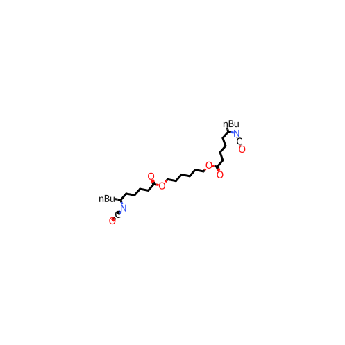 CCCCC(CCCCC(=O)OCCCCCCOC(=O)CCCCC(CCCC)N=C=O)N=C=O